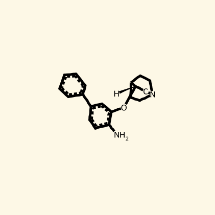 Nc1ccc(-c2ccccc2)cc1O[C@H]1CN2CCC1CC2